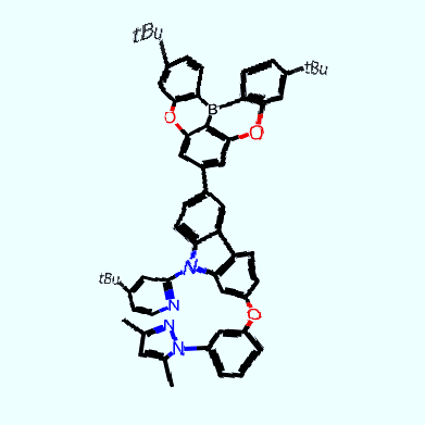 Cc1cc(C)n(-c2cccc(Oc3ccc4c5cc(-c6cc7c8c(c6)Oc6cc(C(C)(C)C)ccc6B8c6ccc(C(C)(C)C)cc6O7)ccc5n(-c5cc(C(C)(C)C)ccn5)c4c3)c2)n1